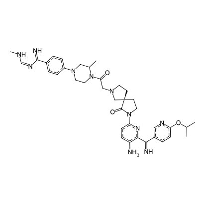 CN/C=N\C(=N)c1ccc(N2CCN(C(=O)CN3CC[C@]4(CCN(c5ccc(N)c(C(=N)c6ccc(OC(C)C)nc6)n5)C4=O)C3)C(C)C2)cc1